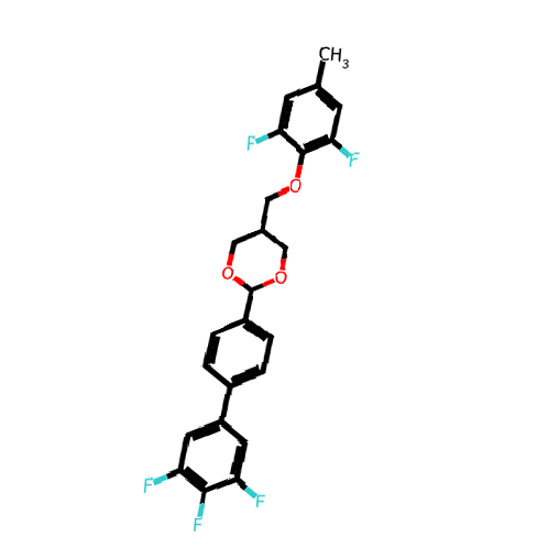 Cc1cc(F)c(OCC2COC(c3ccc(-c4cc(F)c(F)c(F)c4)cc3)OC2)c(F)c1